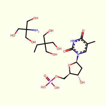 CCC(CO)(CO)CO.Cc1cn([C@H]2C[C@H](O)[C@@H](COP(=O)(O)O)O2)c(=O)[nH]c1=O.NC(CO)(CO)CO